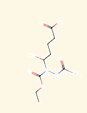 CCOC(=O)N(NC(N)=O)C(O)CCCC(=O)O